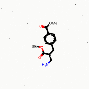 COC(=O)c1ccc(CC(CN)C(=O)OC(C)(C)C)cc1